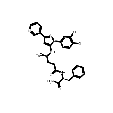 CC(CCC(=O)N[C@@H](Cc1ccccc1)C(N)=O)Nc1cc(-c2cccnc2)nn1-c1ccc(Cl)c(Cl)c1